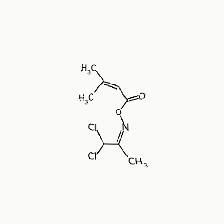 CC(C)=CC(=O)ON=C(C)C(Cl)Cl